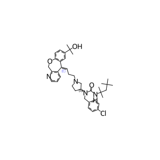 CC(C)(C)CC(C)(C)NC(=O)N(Cc1ccc(Cl)cc1)[C@H]1CCN(CC/C=C2/c3cc(C(C)(C)O)ccc3OCc3ncccc32)C1